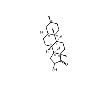 C[C@H]1CC[C@@]2(C)[C@@H](CC[C@@H]3[C@@H]2CC[C@]2(C)C(=O)C(O)C[C@@H]32)C1